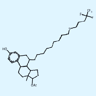 CC(=O)OC1CCC2C3C(CCCCCCCCCSCCCC(F)(F)C(F)(F)F)Cc4cc(O)ccc4C3CCC12C